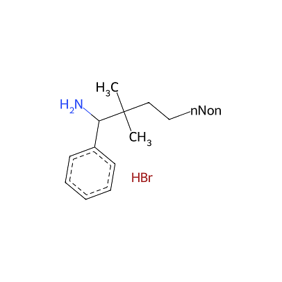 Br.CCCCCCCCCCCC(C)(C)C(N)c1ccccc1